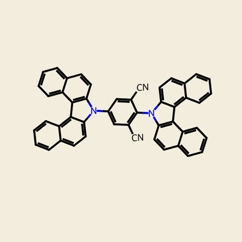 N#Cc1cc(-n2c3ccc4ccccc4c3c3c4ccccc4ccc32)cc(C#N)c1-n1c2ccc3ccccc3c2c2c3ccccc3ccc21